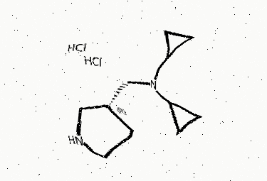 C1C[C@@H](CN(C2CC2)C2CC2)CN1.Cl.Cl